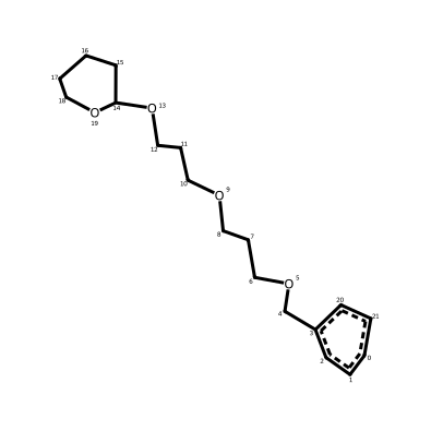 c1ccc(COCCCOCCCOC2CCCCO2)cc1